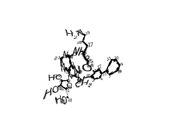 CN(c1ccc(-c2ccccc2)cc1OCCCCCN)c1nc2c(N)ncnc2n1[C@@H]1O[C@H](CO)C(O)C1O